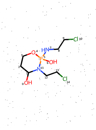 OC1CCO[P](O)(NCCCl)N1CCCl